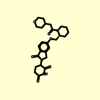 O=C1CCC(N2Cc3cc(OC[C@@H]4CCCCN4C(=O)CC4CCOCC4)ccc3C2=O)C(=O)N1